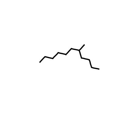 CCCC[CH]CC(C)CCCC